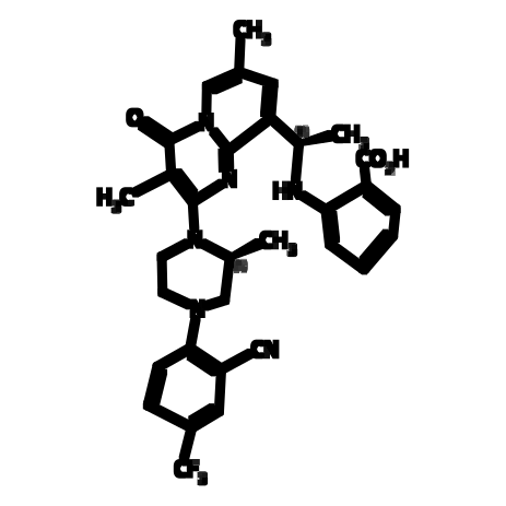 Cc1cc([C@@H](C)Nc2ccccc2C(=O)O)c2nc(N3CCN(c4ccc(C(F)(F)F)cc4C#N)C[C@@H]3C)c(C)c(=O)n2c1